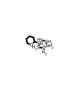 C1CCC([SiH]2[SiH2][SiH2][SiH2][SiH2][SiH2]2)OC1